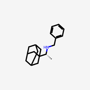 C[C@@H](NCc1ccccc1)C12CC3CC(CC(C3)C1)C2